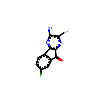 N#Cc1nc2c(nc1N)-c1ccc(F)cc1C2=O